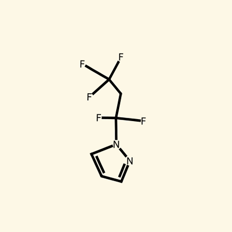 FC(F)(F)CC(F)(F)n1cccn1